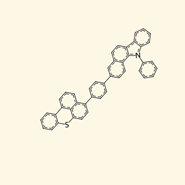 c1ccc(-n2c3ccccc3c3ccc4cc(-c5ccc(-c6ccc7c8c(cccc68)-c6ccccc6S7)cc5)ccc4c32)cc1